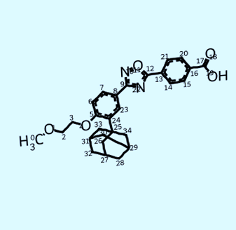 COCCOc1ccc(-c2noc(-c3ccc(C(=O)O)cc3)n2)cc1C12CC3CC(CC(C3)C1)C2